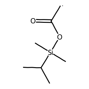 [CH2]C(=O)O[Si](C)(C)C(C)C